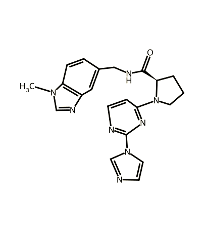 Cn1cnc2cc(CNC(=O)[C@H]3CCCN3c3ccnc(-n4ccnc4)n3)ccc21